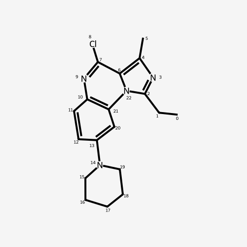 CCc1nc(C)c2c(Cl)nc3ccc(N4CCCCC4)cc3n12